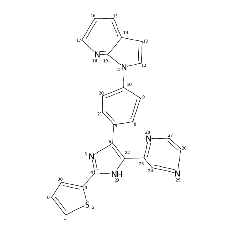 c1csc(-c2nc(-c3ccc(-n4ccc5cccnc54)cc3)c(-c3cnccn3)[nH]2)c1